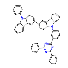 c1ccc(-c2nc(-c3ccccc3)nc(-c3cccc(-n4c5ccccc5c5cc(-c6ccc7c(c6)c6ccccc6n7-c6ccccc6)ccc54)c3)n2)cc1